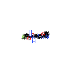 O=C(CNC(=O)c1cccc(C(F)(F)F)c1)N[C@@H]1CCN(C2CCC(NC(=O)c3ccnc4ccccc34)CC2)C1